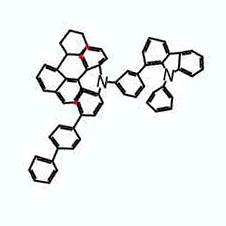 c1ccc(-c2ccc(-c3ccc(N(c4cccc(-c5cccc6c7ccccc7n(-c7ccccc7)c56)c4)c4ccccc4-c4cccc5cccc(C6CCCCC6)c45)cc3)cc2)cc1